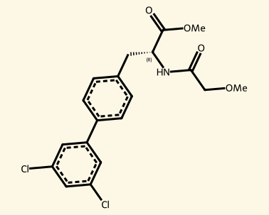 COCC(=O)N[C@H](Cc1ccc(-c2cc(Cl)cc(Cl)c2)cc1)C(=O)OC